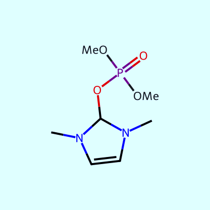 COP(=O)(OC)OC1N(C)C=CN1C